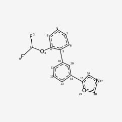 FC(F)Oc1ccccc1-c1cccc(-c2cnco2)c1